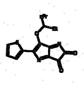 CCCC(CC)Oc1c(-c2cccs2)nc2c(=O)c(=O)nc1-2